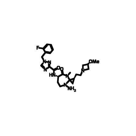 COC1CN(CC[C@H]2CC23N(N)CC[C@H](NC(=O)c2ncn(Cc4ccccc4F)n2)C(=O)N3C)C1